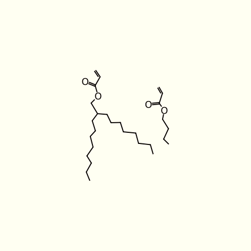 C=CC(=O)OCC(CCCCCCCC)CCCCCCCC.C=CC(=O)OCCCC